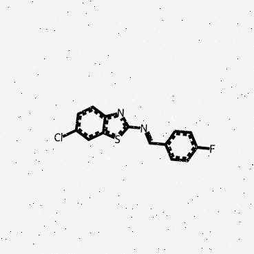 Fc1ccc(C=Nc2nc3ccc(Cl)cc3s2)cc1